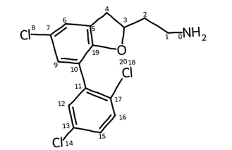 NCCC1Cc2cc(Cl)cc(-c3cc(Cl)ccc3Cl)c2O1